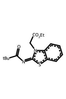 CCOC(=O)Cn1c(=NC(=O)C(C)(C)C)sc2ccccc21